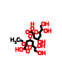 CCO[C@]1(C(=O)O)C[C@@H](O[C@]2(C(=O)O)C[C@@H](O)CC([C@H](O)CO)O2)CC([C@H](O)CO)O1